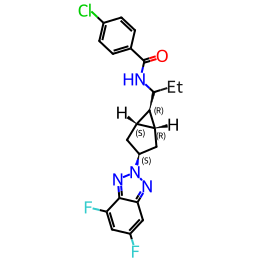 CCC(NC(=O)c1ccc(Cl)cc1)[C@H]1[C@@H]2C[C@@H](n3nc4cc(F)cc(F)c4n3)C[C@@H]21